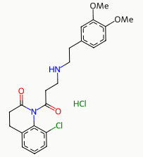 COc1ccc(CCNCCC(=O)N2C(=O)CCc3cccc(Cl)c32)cc1OC.Cl